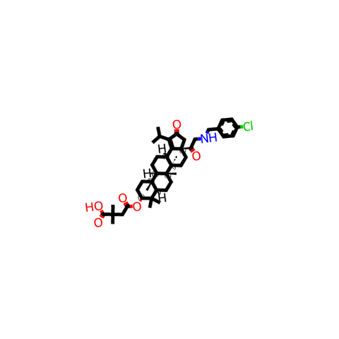 CC(C)C1=C2[C@H]3CC[C@@H]4[C@@]5(C)CC[C@H](OC(=O)CC(C)(C)C(=O)O)C(C)(C)[C@@H]5CC[C@@]4(C)[C@]3(C)CC[C@@]2(C(=O)CNCc2ccc(Cl)cc2)CC1=O